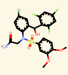 COc1ccc(S(=O)(=O)N(CC(N)=O)c2ccc(Cl)cc2C(O)c2c(F)cc(F)cc2F)cc1OC